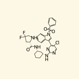 O=C(N[C@H]1CCC[C@@H](Nc2ncc(Cl)c(-c3cn(S(=O)(=O)c4ccccc4)c4ccccc34)n2)C1)[C@@H]1CC(F)(F)CN1